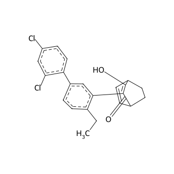 CCc1ccc(-c2ccc(Cl)cc2Cl)cc1C1=C(O)C2C=CC(CC2)C1=O